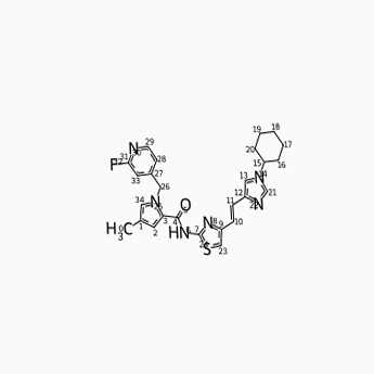 Cc1cc(C(=O)Nc2nc(/C=C/c3cn(C4CCCCC4)cn3)cs2)n(Cc2ccnc(F)c2)c1